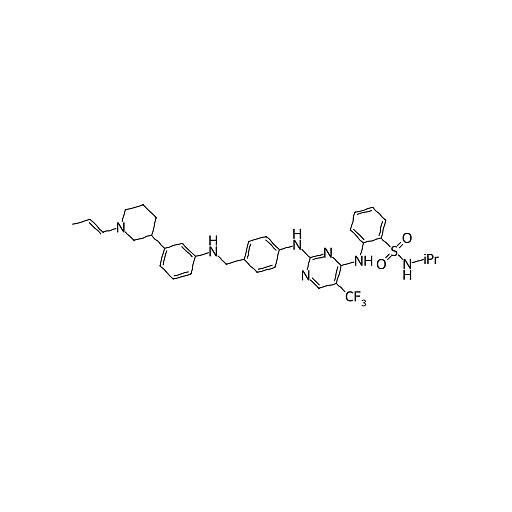 CC=CN1CCCC(c2cccc(NCc3ccc(Nc4ncc(C(F)(F)F)c(Nc5ccccc5S(=O)(=O)NC(C)C)n4)cc3)c2)C1